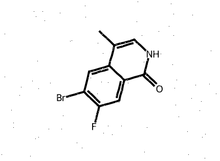 Cc1c[nH]c(=O)c2cc(F)c(Br)cc12